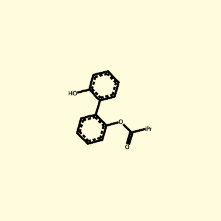 CC(C)C(=O)Oc1ccccc1-c1ccccc1O